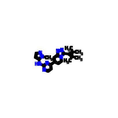 Cn1nccc1Nc1nccc(-c2ccn3c(C4C(C)(C)C4(C)C)nnc3c2)n1